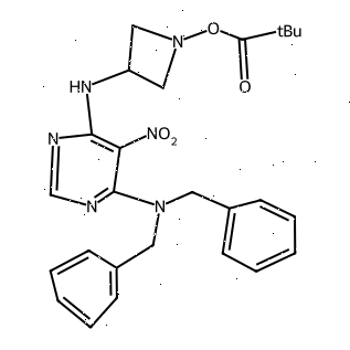 CC(C)(C)C(=O)ON1CC(Nc2ncnc(N(Cc3ccccc3)Cc3ccccc3)c2[N+](=O)[O-])C1